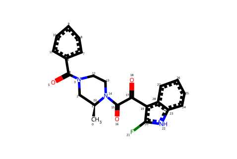 C[C@H]1CN(C(=O)c2ccccc2)CCN1C(=O)C(=O)c1c(F)[nH]c2ccccc12